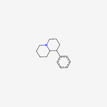 c1ccc(C2CCCN3CCCCC23)cc1